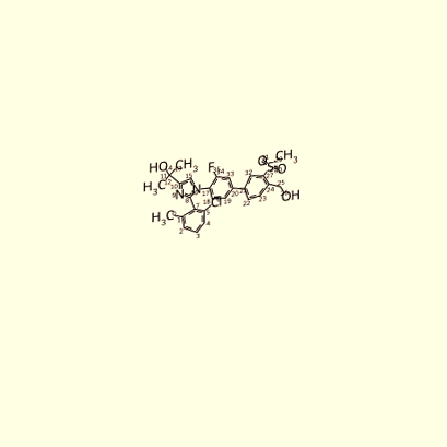 Cc1cccc(Cl)c1-c1nc(C(C)(C)O)cn1-c1ccc(-c2ccc(CO)c(S(C)(=O)=O)c2)cc1F